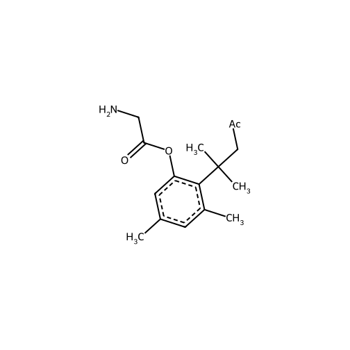 CC(=O)CC(C)(C)c1c(C)cc(C)cc1OC(=O)CN